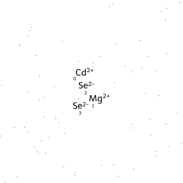 [Cd+2].[Mg+2].[Se-2].[Se-2]